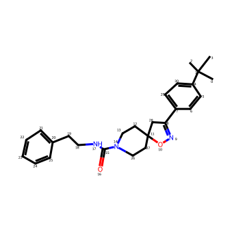 CC(C)(C)c1ccc(C2=NOC3(CCN(C(=O)NCCc4ccccc4)CC3)C2)cc1